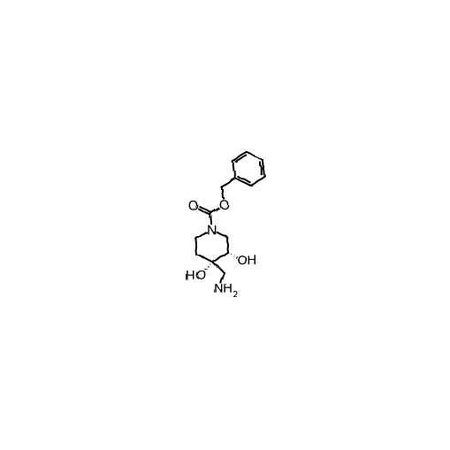 NC[C@@]1(O)CCN(C(=O)OCc2ccccc2)C[C@@H]1O